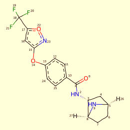 O=C(N[C@@H]1C[C@H]2CC[C@@H]1N2)c1ccc(Oc2cc(C(F)(F)F)on2)cc1